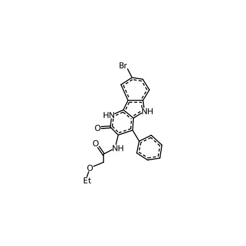 CCOCC(=O)Nc1c(-c2ccccc2)c2[nH]c3ccc(Br)cc3c2[nH]c1=O